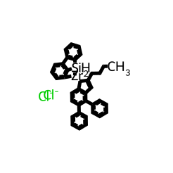 CCCCC1=Cc2c(ccc(-c3ccccc3)c2-c2ccccc2)[CH]1[Zr+2]1[c]2cccc3c2[SiH]1c1ccccc1-3.[Cl-].[Cl-]